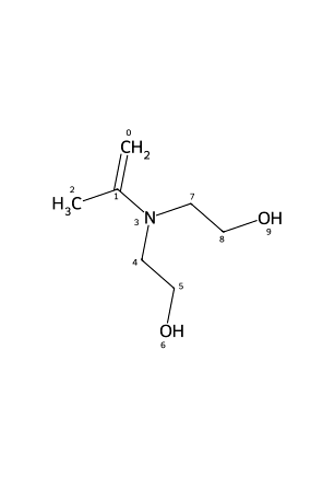 C=C(C)N(CCO)CCO